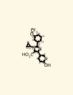 O=C(O)c1c(-c2ccc(O)nc2)nc(-c2cccc(OC(F)(F)F)c2)n1C1CC1